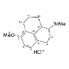 CNC1CCc2ccc(OC)c3c2C1CCC3.Cl